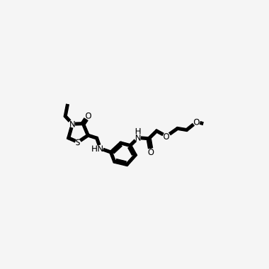 CCN1CSC(CNc2cccc(NC(=O)COCCOC)c2)C1=O